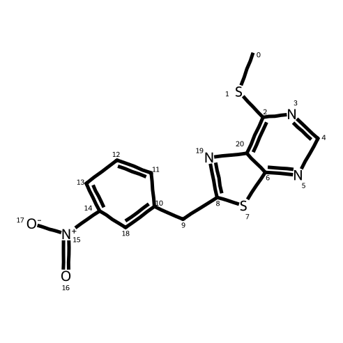 CSc1ncnc2sc(Cc3cccc([N+](=O)[O-])c3)nc12